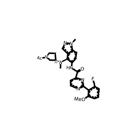 COc1cccc(F)c1-c1nccc(C(=O)Nc2ccc3c(cnn3C)c2N(C)[C@H]2CCN(C(C)=O)C2)n1